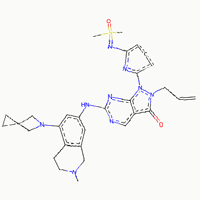 C=CCn1c(=O)c2cnc(Nc3cc4c(c(N5CC6(CC6)C5)c3)CCN(C)C4)nc2n1-c1cccc(N=S(C)(C)=O)n1